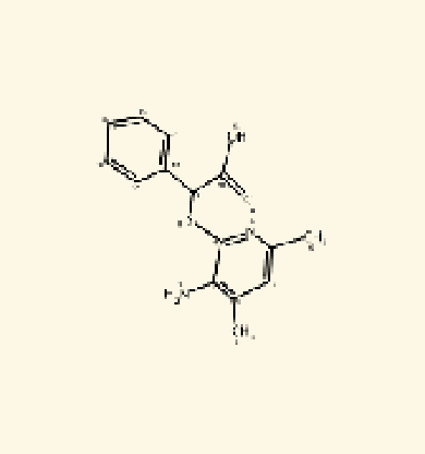 Cc1cc(C)c(N)c(SC(C(=O)O)c2ccccc2)n1